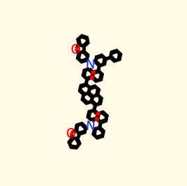 c1ccc(-c2ccc(N(c3ccc(-c4ccc5ccc6c(-c7ccc(N(c8ccc9oc%10ccccc%10c9c8)c8ccccc8-c8ccccc8)cc7)ccc7ccc4c5c76)cc3)c3ccc4oc5ccccc5c4c3)c(-c3ccccc3)c2)cc1